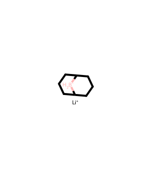 [BH2-]1C2CCCC1CCC2.[Li+]